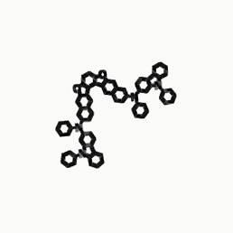 c1ccc(N(c2ccc3cc4c(cc3c2)oc2ccc3oc5cc6cc(N(c7ccccc7)c7ccc8c9ccccc9n(-c9ccccc9)c8c7)ccc6cc5c3c24)c2ccc3c4ccccc4n(-c4ccccc4)c3c2)cc1